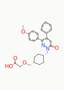 COc1ccc(-c2nn(C[C@H]3CC[C@@H](COCC(=O)O)CC3)c(=O)cc2-c2ccccc2)cc1